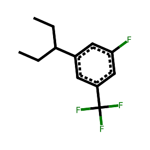 CCC(CC)c1cc(F)cc(C(F)(F)F)c1